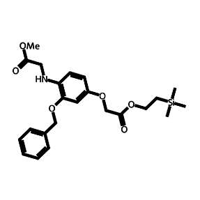 COC(=O)CNc1ccc(OCC(=O)OCC[Si](C)(C)C)cc1OCc1ccccc1